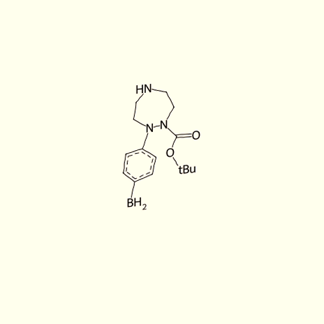 Bc1ccc(N2CCNCCN2C(=O)OC(C)(C)C)cc1